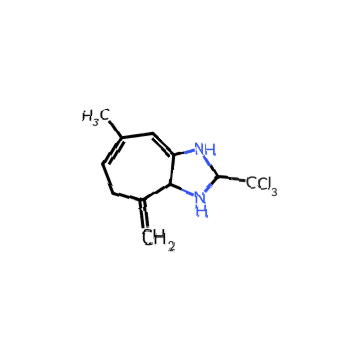 C=C1CC=C(C)C=C2NC(C(Cl)(Cl)Cl)NC12